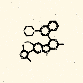 COc1cc2c(cc1-c1c(C)noc1C)[nH]c1nc(C)nc(-c3cc(N4CCOCC4)nc4ccccc34)c12